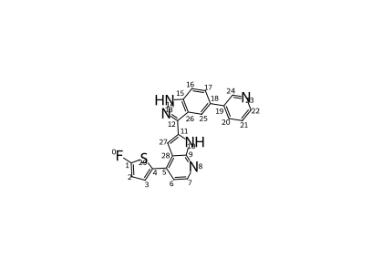 Fc1ccc(-c2ccnc3[nH]c(-c4n[nH]c5ccc(-c6cccnc6)cc45)cc23)s1